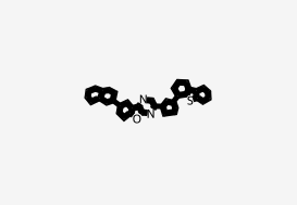 c1cc(-c2cnc3c(n2)oc2ccc(-c4ccc5ccccc5c4)cc23)cc(-c2cccc3c2sc2ccccc23)c1